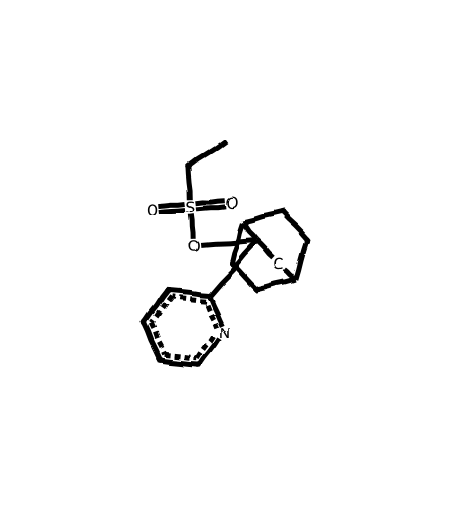 CCS(=O)(=O)OC1(c2ccccn2)CC2CCC1CC2